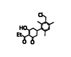 CCC(=O)C1=C(O)CC(c2c(C)cc(C)c(CCl)c2C)CC1=O